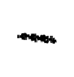 CC(C)(C)OC(=O)N1CCc2cc(CCn3ncc(OCc4ccc(Br)cn4)cc3=O)ccc2C1